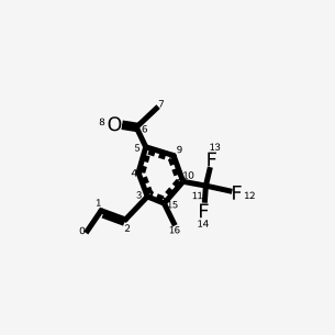 C/C=C/c1cc(C(C)=O)cc(C(F)(F)F)c1C